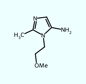 COCCn1c(N)cnc1C